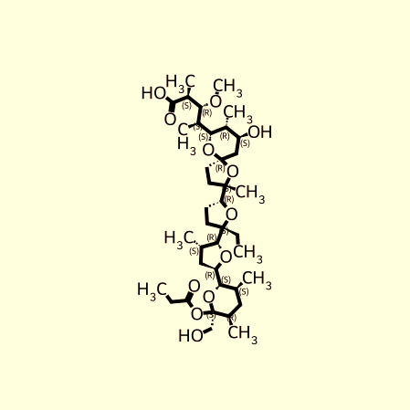 CCC(=O)O[C@@]1(CO)O[C@H]([C@H]2C[C@H](C)[C@H]([C@]3(CC)CC[C@H]([C@]4(C)CC[C@]5(C[C@H](O)[C@@H](C)[C@@H]([C@@H](C)[C@@H](OC)[C@H](C)C(=O)O)O5)O4)O3)O2)[C@@H](C)C[C@H]1C